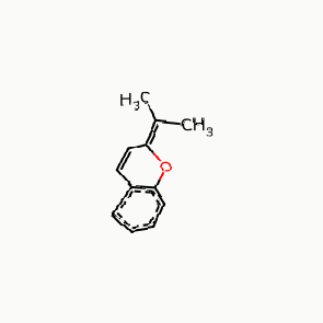 CC(C)=C1C=Cc2ccccc2O1